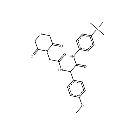 COc1ccc(C(NC(=O)CN2C(=O)COCC2=O)C(=O)Nc2ccc([Si](C)(C)C)cc2)cc1